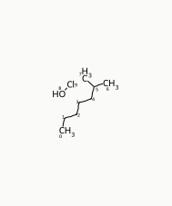 CCCCCC(C)C.OCl